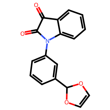 O=C1C(=O)N(c2cccc(C3OC=CO3)c2)c2ccccc21